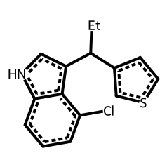 [CH2]CC(c1ccsc1)c1c[nH]c2cccc(Cl)c12